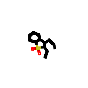 C=CC1=C(/C=C\C)c2ccccc2S1(=O)=O